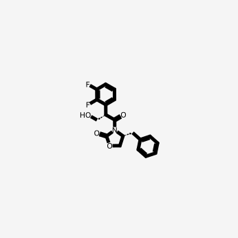 O=C1OC[C@@H](Cc2ccccc2)N1C(=O)[C@H](CO)c1cccc(F)c1F